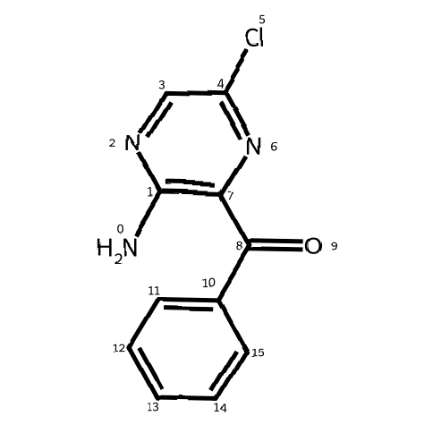 Nc1ncc(Cl)nc1C(=O)c1ccccc1